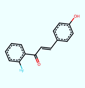 O=C(/C=C/c1ccc(O)cc1)c1ccccc1[18F]